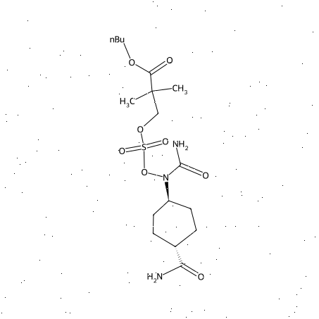 CCCCOC(=O)C(C)(C)COS(=O)(=O)ON(C(N)=O)[C@H]1CC[C@H](C(N)=O)CC1